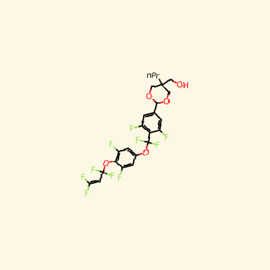 CCCC1(CO)COC(c2cc(F)c(C(F)(F)Oc3cc(F)c(OC(F)(F)C=C(F)F)c(F)c3)c(F)c2)OC1